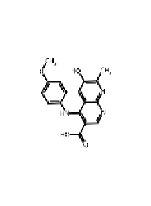 COc1ccc(Nc2c(C(=O)O)cnc3nc(C)c(O)cc23)cc1